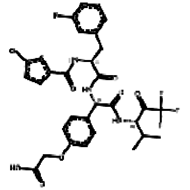 CC(C)[C@H](NC(=O)[C@@H](NC(=O)[C@H](Cc1cccc(F)c1)NC(=O)c1ccc(Cl)s1)c1ccc(OCC(=O)O)cc1)C(=O)C(F)(F)F